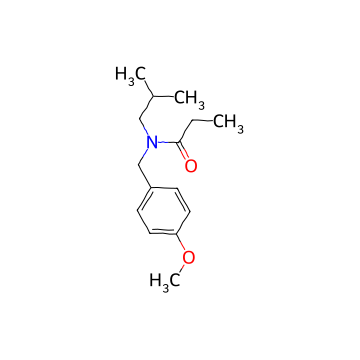 CCC(=O)N(Cc1ccc(OC)cc1)CC(C)C